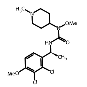 COc1ccc([C@H](C)NC(=O)N(OC)C2CCN(C)CC2)c(Cl)c1Cl